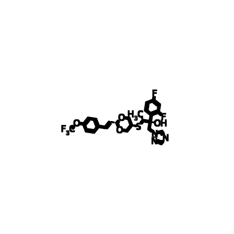 C[C@@H](S[C@H]1CO[C@H](C=Cc2ccc(OC(F)(F)F)cc2)OC1)[C@](O)(Cn1cncn1)c1ccc(F)cc1F